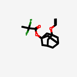 C=COC12CC3CC(C1)CC(OC(=O)C(C)(F)F)(C3)C2